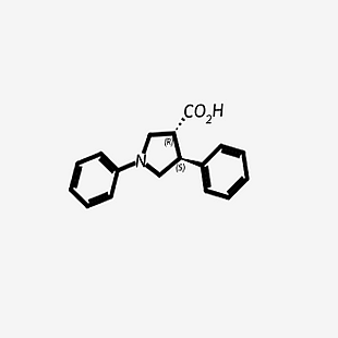 O=C(O)[C@H]1CN(c2ccccc2)C[C@@H]1c1ccccc1